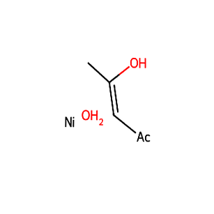 CC(=O)/C=C(/C)O.O.[Ni]